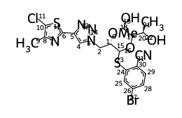 CO[C@@H](Cn1cc(-c2nc(C)c(Cl)s2)nn1)C(OC(CO)[C@@H](C)O)Sc1cc(Br)ccc1C#N